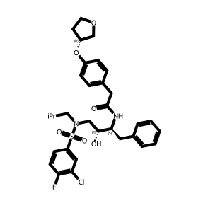 CC(C)CN(C[C@@H](O)[C@H](Cc1ccccc1)NC(=O)Cc1ccc(O[C@@H]2CCOC2)cc1)S(=O)(=O)c1ccc(F)c(Cl)c1